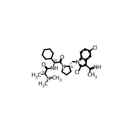 CC(=N)c1c(Cl)n(C[C@@H]2CCCN2C(=O)[C@@H](NC(=O)[C@H](C)N(C)C)C2CCCCC2)c2ccc(Cl)cc12